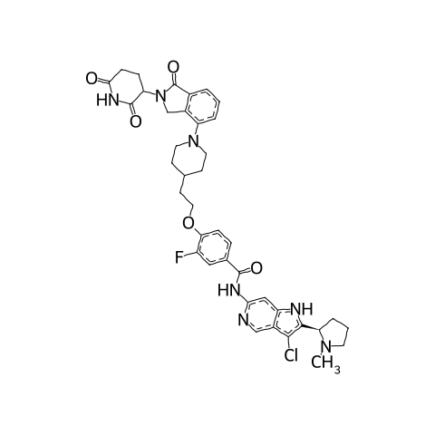 CN1CCC[C@@H]1c1[nH]c2cc(NC(=O)c3ccc(OCCC4CCN(c5cccc6c5CN(C5CCC(=O)NC5=O)C6=O)CC4)c(F)c3)ncc2c1Cl